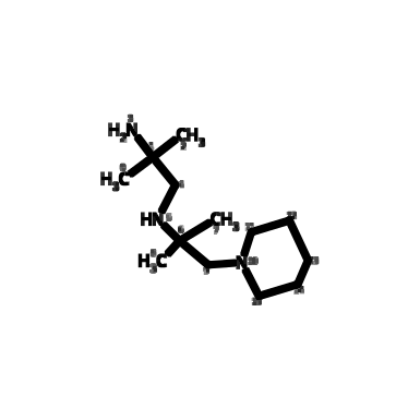 CC(C)(N)CNC(C)(C)CN1CCCCC1